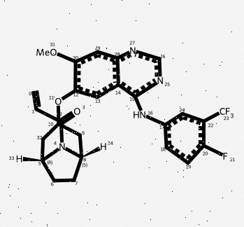 C=CC(=O)N1[C@@H]2CC[C@H]1CC(Oc1cc3c(Nc4ccc(F)c(C(F)(F)F)c4)ncnc3cc1OC)C2